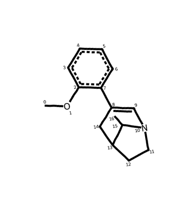 COc1ccccc1C1=CN2CCC(C1)C2C